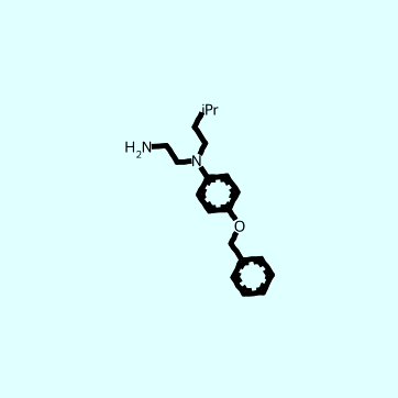 CC(C)CCN(CCN)c1ccc(OCc2ccccc2)cc1